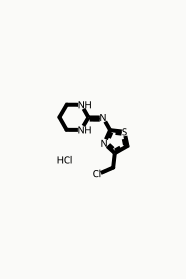 Cl.ClCc1csc(N=C2NCCCN2)n1